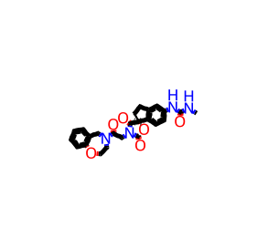 CNC(=O)Nc1ccc2c(c1)CC[C@]21OC(=O)N(CC(=O)N2CCOc3ccccc3C2)C1=O